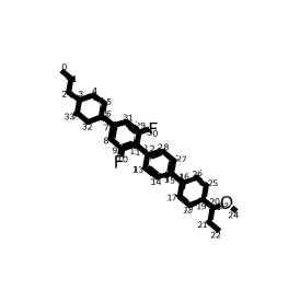 CCCC1CCC(c2cc(F)c(-c3ccc(C4CCC(C(CC)OC)CC4)cc3)c(F)c2)CC1